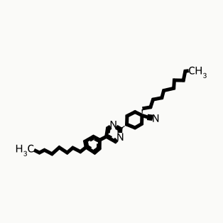 CCCCCCCCCC[C@]1(C#N)CC[C@H](c2ncc(-c3ccc(CCCCCCCC)cc3)cn2)CC1